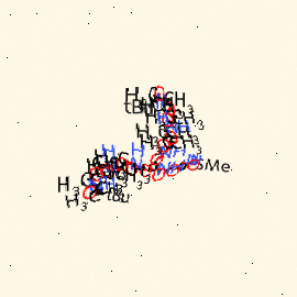 CSc1nnc(-c2ccc(OCCNC(=O)c3cc(OCCNC(=O)CC(C)(C)OCC(C)(C)CNC(=O)CC(C)(C)COCC(C)(C)CNC(=O)C(C)(C)CCC(C)(C)C)cc(OCCNC(=O)CC(C)(C)OCC(C)(C)CNC(=O)CC(C)(C)COCC(C)(C)CNC(=O)C(C)(C)CCC(C)(C)C)c3)cc2)o1